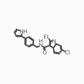 CCC1=C(C(=O)NCc2ccc(-c3ccc[nH]3)cc2)C2C=CC(Cl)=CC2=N1